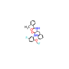 Cc1ccccc1C(=O)NC(Cc1ccccc1)C(=O)Nc1cc(F)ccc1OCF